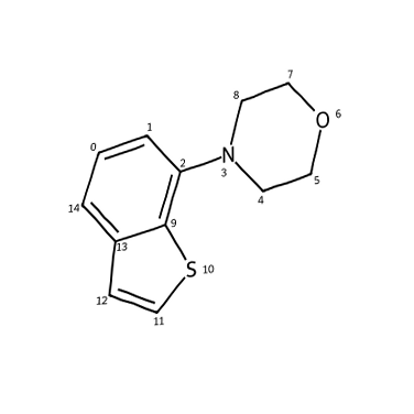 c1cc(N2CCOCC2)c2sccc2c1